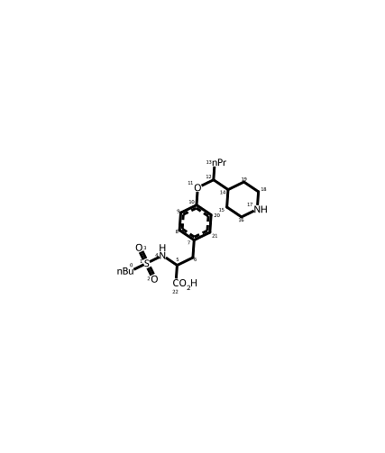 CCCCS(=O)(=O)NC(Cc1ccc(OC(CCC)C2CCNCC2)cc1)C(=O)O